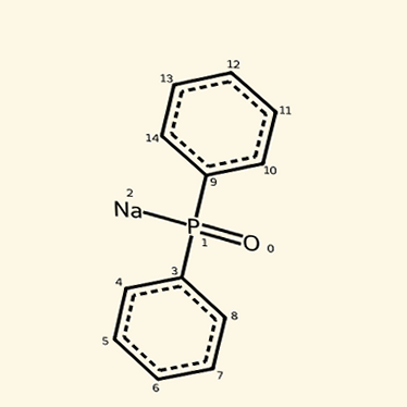 O=[P]([Na])(c1ccccc1)c1ccccc1